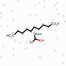 CCCCCC(O)CC.O=C(O)CCCCCCCCC(=O)O